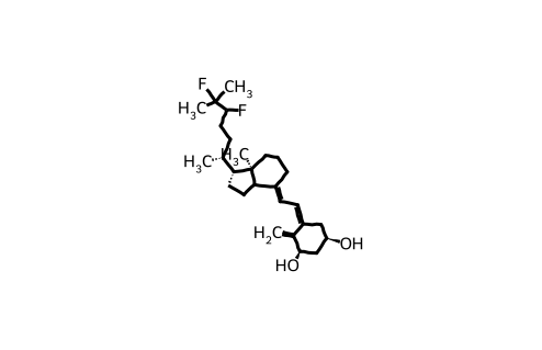 C=C1/C(=C\C=C2CCC[C@@]3(C)C2CC[C@@H]3[C@H](C)CCC(F)C(C)(C)F)C[C@@H](O)C[C@H]1O